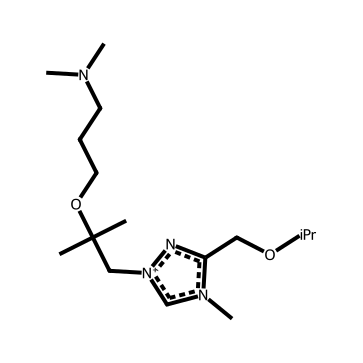 CC(C)OCc1n[n+](CC(C)(C)OCCCN(C)C)cn1C